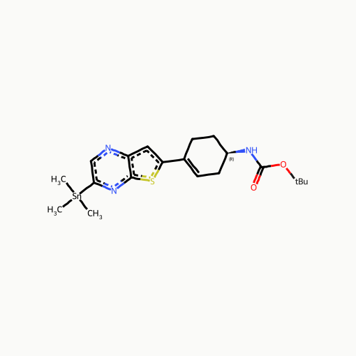 CC(C)(C)OC(=O)N[C@H]1CC=C(c2cc3nc[c]([Sn]([CH3])([CH3])[CH3])nc3s2)CC1